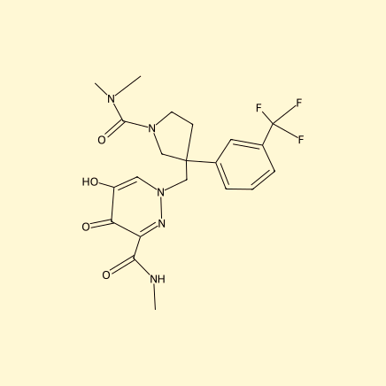 CNC(=O)c1nn(CC2(c3cccc(C(F)(F)F)c3)CCN(C(=O)N(C)C)C2)cc(O)c1=O